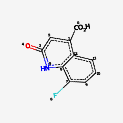 O=C(O)c1cc(=O)[nH]c2c(F)cccc12